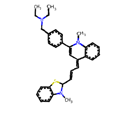 CCN(CC)Cc1ccc(C2=CC(=CC=CC3Sc4ccccc4N3C)c3ccccc3N2C)cc1